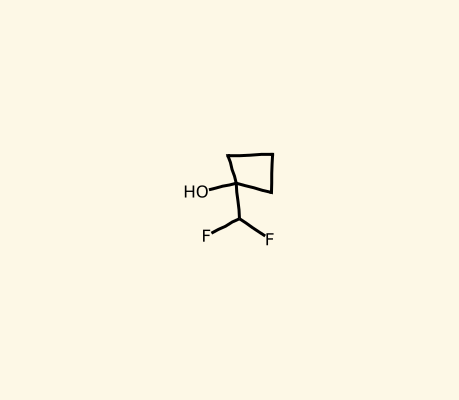 OC1(C(F)F)CCC1